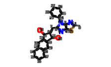 Cc1nc2c(nc(C=C3C(=O)c4cc5ccccc5cc4C3=O)n2-c2ccccc2)s1